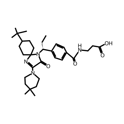 CC[C@H](c1ccc(C(=O)NCCC(=O)O)cc1)N1C(=O)C(N2CCC(C)(C)CC2)=NC12CCC(C(C)(C)C)CC2